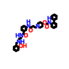 O=C(CCN1CCC(OC(=O)Nc2ccccc2-c2ccccc2)CC1)Nc1cccc(C(=O)NCCNCc2ccccc2O)c1